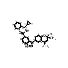 CC1=CC(C)(C)Oc2ccc(-c3n[nH]c4ccc(C(=O)N[C@H](c5ccccn5)C5CC5)cc34)cc21